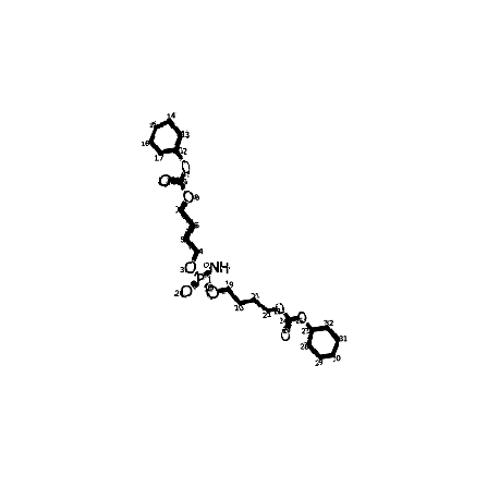 [NH]P(=O)(OCCCCOC(=O)OC1CCCCC1)OCCCCOC(=O)OC1CCCCC1